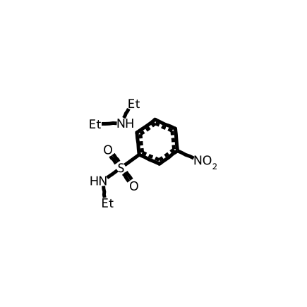 CCNCC.CCNS(=O)(=O)c1cccc([N+](=O)[O-])c1